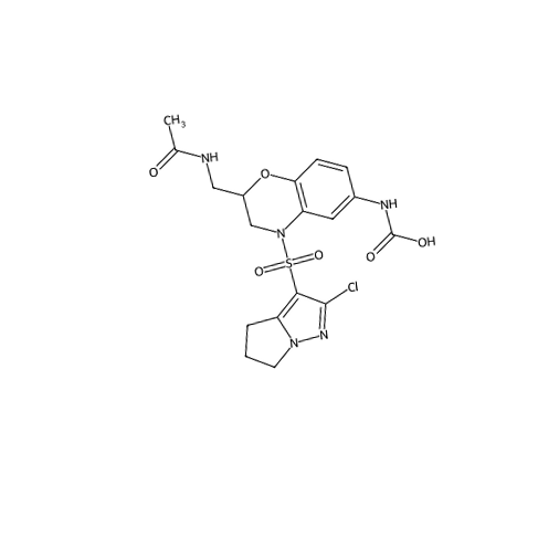 CC(=O)NCC1CN(S(=O)(=O)c2c(Cl)nn3c2CCC3)c2cc(NC(=O)O)ccc2O1